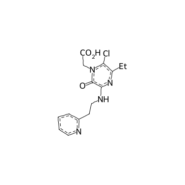 CCc1nc(NCCc2ccccn2)c(=O)n(CC(=O)O)c1Cl